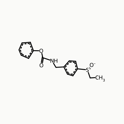 CC[S+]([O-])c1ccc(CNC(=O)Oc2ccccc2)cc1